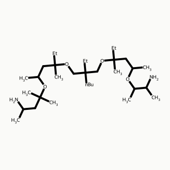 CCCCC(CC)(COC(C)(CC)CC(C)OC(C)C(C)N)COC(C)(CC)CC(C)OC(C)(C)CC(C)N